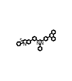 c1ccc(-c2nc(-c3ccc(-c4cc5ccccc5c5ccccc45)cc3)cc(-c3cccc(-c4ccc5nc6c(cc5c4)sc4ccccc46)c3)n2)cc1